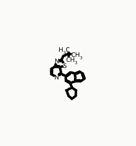 CC(C)(C)Cc1nc2ccnc(-c3cc(C4CCCCC4)c4ccccc4c3)c2s1